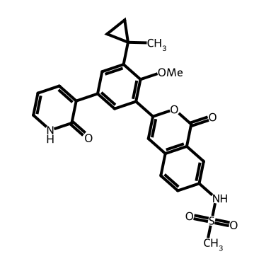 COc1c(-c2cc3ccc(NS(C)(=O)=O)cc3c(=O)o2)cc(-c2ccc[nH]c2=O)cc1C1(C)CC1